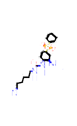 N#CCCCCCNC(=O)Nc1ccc(S(=O)(=O)c2ccccc2)cc1N